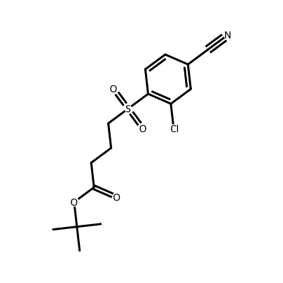 CC(C)(C)OC(=O)CCCS(=O)(=O)c1ccc(C#N)cc1Cl